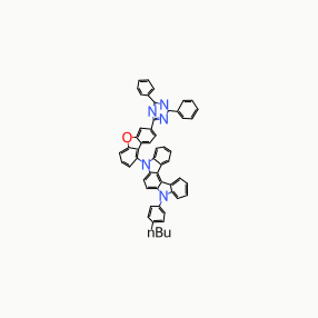 CCCCc1ccc(-n2c3ccccc3c3c4c5ccccc5n(-c5cccc6oc7cc(-c8nc(-c9ccccc9)nc(-c9ccccc9)n8)ccc7c56)c4ccc32)cc1